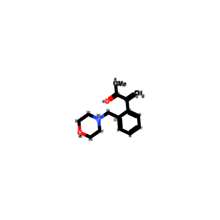 C=C(C(=O)OC)c1ccccc1CN1CCOCC1